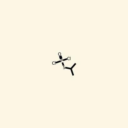 CC(C)SP(=O)(Cl)Cl